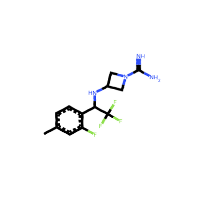 Cc1ccc(C(NC2CN(C(=N)N)C2)C(F)(F)F)c(F)c1